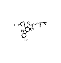 CC12Cc3c([nH]c4ccc(Br)cc34)C(c3cccc(O)c3)N1C(=O)N(CCCNCC1CC1)C2=O